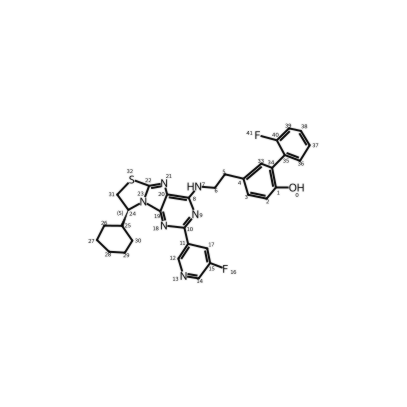 Oc1ccc(CCNc2nc(-c3cncc(F)c3)nc3c2nc2n3[C@@H](C3CCCCC3)CS2)cc1-c1ccccc1F